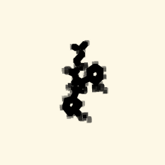 CN(C)CCNC(=O)c1nc(-c2cccc(C(F)(F)F)c2)oc1-c1ccccc1[N+](=O)[O-]